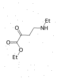 CCNCCC(=O)C(=O)OCC